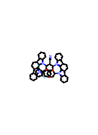 N#Cc1c(-n2c3ccccc3c3ccc4c5ccccc5n(-c5ccccc5)c4c32)ccc(-c2c(F)cccc2F)c1-n1c2ccccc2c2ccc3c4ccccc4n(-c4ccccc4)c3c21